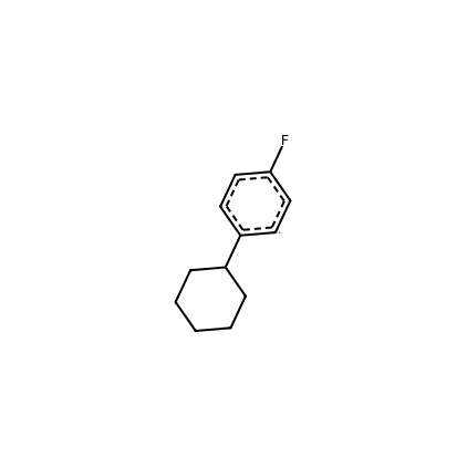 Fc1c[c]c(C2CCCCC2)cc1